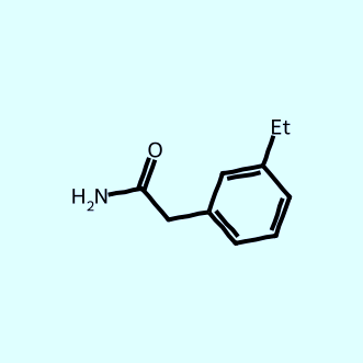 CCc1cccc(CC(N)=O)c1